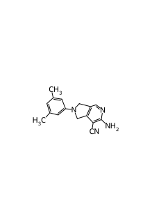 Cc1cc(C)cc(N2Cc3cnc(N)c(C#N)c3C2)c1